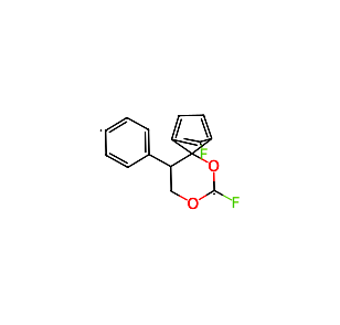 F[C]1OCC(c2cc[c]cc2)C2(O1)C1=CC=C2C(F)=C1